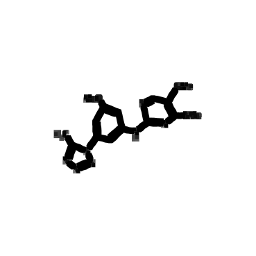 CNc1nc(Nc2cc(OC)cc(-n3nnnc3C)c2)ncc1OC